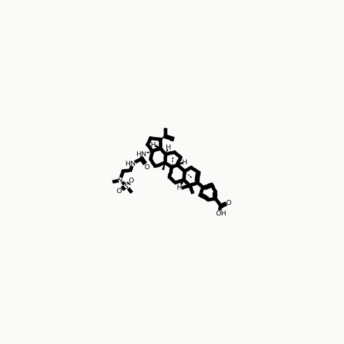 C=C(C)[C@@H]1CC[C@]2(NC(=O)NCCN(C)S(C)(=O)=O)CC[C@]3(C)[C@H](CC[C@@H]4[C@@]5(C)CC=C(c6ccc(C(=O)O)cc6)C(C)(C)[C@@H]5CC[C@]43C)[C@@H]12